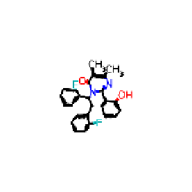 Cc1nc(-c2ccccc2O)n(C(Cc2ccccc2F)c2ccccc2F)c(=O)c1C